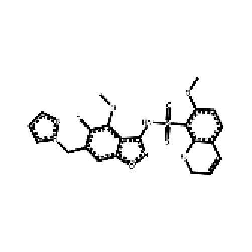 COc1ccc2c(c1S(=O)(=O)Nc1noc3cc(Cn4cccn4)c(F)c(OC)c13)OCC=C2